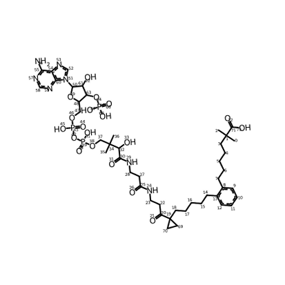 CC(C)(CCCCCc1ccccc1CCCCCC1(C(=O)CCNC(=O)CCNC(=O)C(O)C(C)(C)COP(=O)(O)OP(=O)(O)OCC2OC(n3cnc4c(N)ncnc43)C(O)C2OP(=O)(O)O)CC1)C(=O)O